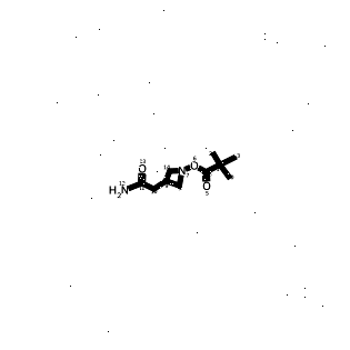 CC(C)(C)C(=O)ON1CC(CC(N)=O)C1